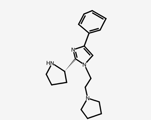 c1ccc(-c2cn(CCN3CCCC3)c([C@@H]3CCCN3)n2)cc1